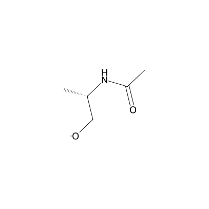 CC(=O)N[C@@H](C)C[O]